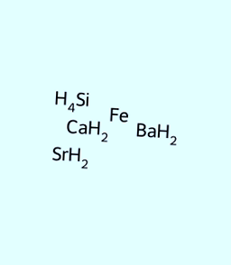 [BaH2].[CaH2].[Fe].[SiH4].[SrH2]